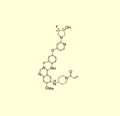 C=CC(=O)N1CCC(Nc2cc3c(Nc4ccc(Oc5ccnc(N6C[C@@H](F)[C@@H](O)C6)c5)cc4F)ncnc3cc2OC)CC1